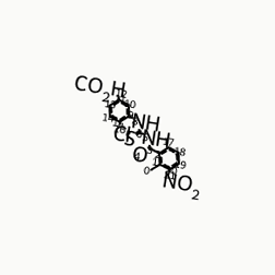 Cc1c(C(=O)NC(=S)Nc2cc(C(=O)O)ccc2Cl)cccc1[N+](=O)[O-]